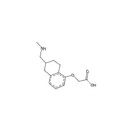 CNCC1CCc2c(cccc2OCC(=O)O)C1